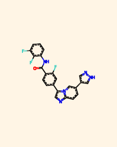 O=C(Nc1cccc(F)c1F)c1ccc(-c2cnc3ccc(-c4cn[nH]c4)cn23)cc1F